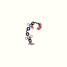 CCCCC1=CC2CC1C1C(=O)N(c3ccc(Cc4ccc(N5C(=O)C6C7C=C(CCC[Si](C)(C)O[Si](C)(C)O[Si](C)(C)C)C(C7)C6C5=O)cc4)cc3)C(=O)C21